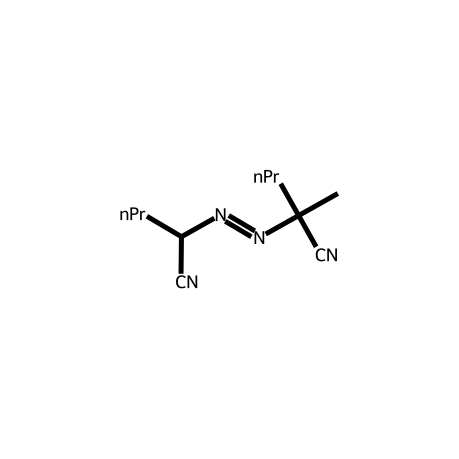 CCCC(C#N)/N=N/C(C)(C#N)CCC